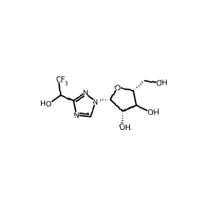 OC[C@H]1O[C@@H](n2cnc(C(O)C(F)(F)F)n2)[C@@H](O)C1O